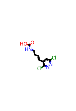 O=C(O)NCCC=Cc1cc(Cl)nnc1Cl